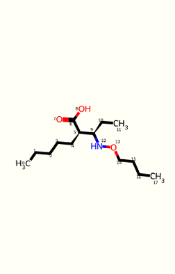 CCCCC[C@@H](C(=O)O)[C@@H](CC)NOCCCC